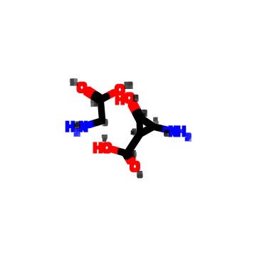 NC1C(=O)C1C(=O)O.NCC(=O)O